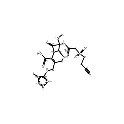 CO[C@@]1(NC(=O)CS(=O)(=O)CCC#N)C(=O)N2C(C(=O)O)=C(CSc3nnnn3C)CS[C@@H]21